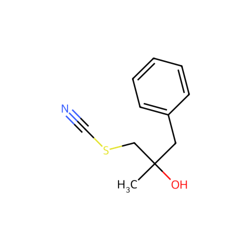 CC(O)(CSC#N)Cc1ccccc1